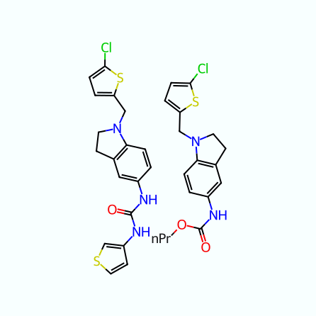 CCCOC(=O)Nc1ccc2c(c1)CCN2Cc1ccc(Cl)s1.O=C(Nc1ccsc1)Nc1ccc2c(c1)CCN2Cc1ccc(Cl)s1